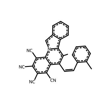 Cc1ccccc1/C=C\c1c(C)c2c3ccccc3cn2c2c(C#N)c(C#N)c(C#N)c(C#N)c12